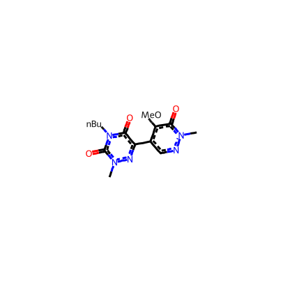 CCCCn1c(=O)c(-c2cnn(C)c(=O)c2OC)nn(C)c1=O